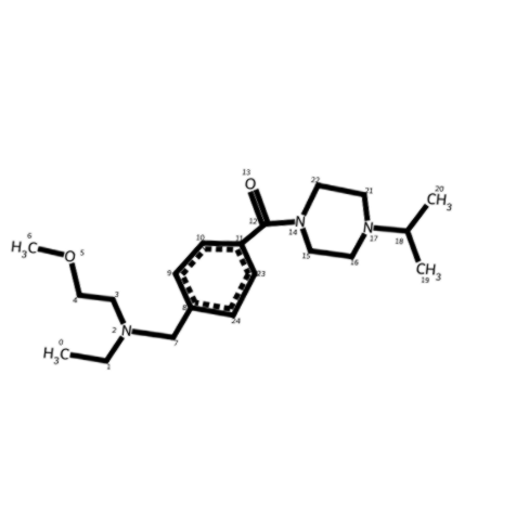 CCN(CCOC)Cc1ccc(C(=O)N2CCN(C(C)C)CC2)cc1